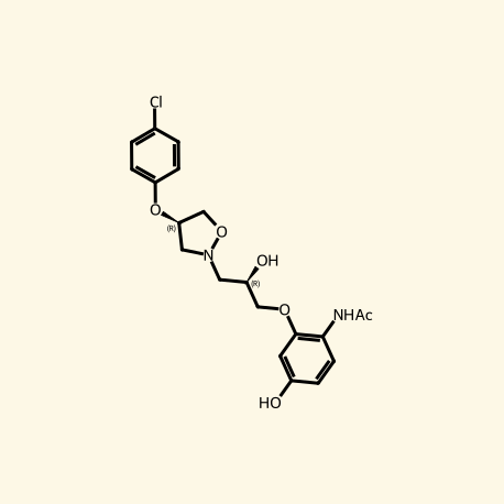 CC(=O)Nc1ccc(O)cc1OC[C@H](O)CN1C[C@@H](Oc2ccc(Cl)cc2)CO1